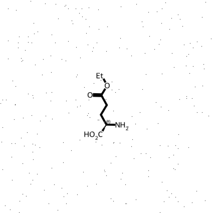 CCOC(=O)CC[C@@H](N)C(=O)O